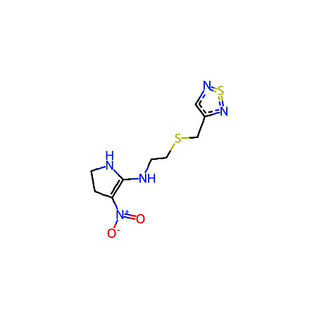 O=[N+]([O-])C1=C(NCCSCc2cnsn2)NCC1